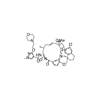 CO[C@H]1/C=C/C[C@H](C)C[S@@](=O)(NC(=O)c2cn(C)nc2OCCN2CCOCC2)=NC(=O)c2ccc3c(c2)N(C[C@@H]2CC[C@H]21)C[C@@]1(CCCc2cc(Cl)ccc21)CO3